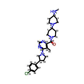 CNC1CCN(C2CCN(C(=O)c3ncnc(N4CCC(c5ccc(Cl)cc5)C4)c3C)CC2)CC1